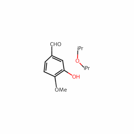 CC(C)OC(C)C.COc1ccc(C=O)cc1O